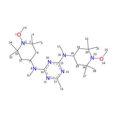 CON1C(C)(C)CC(N(C)c2nc(C)nc(N(C)C3CC(C)(C)N(OC)C(C)(C)C3)n2)CC1(C)C